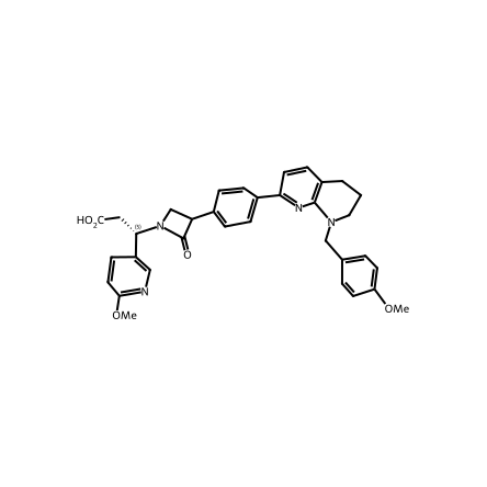 COc1ccc(CN2CCCc3ccc(-c4ccc(C5CN([C@@H](CC(=O)O)c6ccc(OC)nc6)C5=O)cc4)nc32)cc1